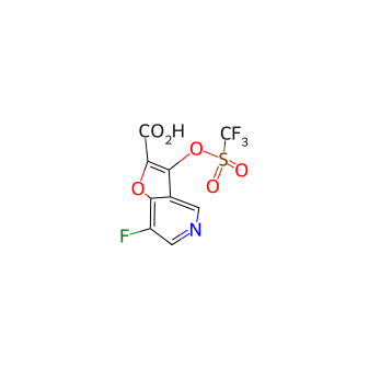 O=C(O)c1oc2c(F)cncc2c1OS(=O)(=O)C(F)(F)F